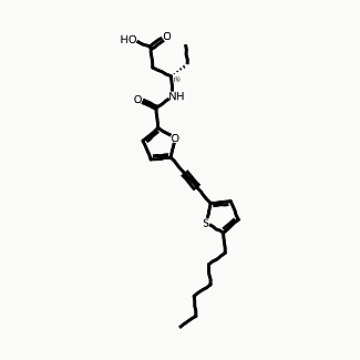 CCCCCCc1ccc(C#Cc2ccc(C(=O)N[C@@H](CC)CC(=O)O)o2)s1